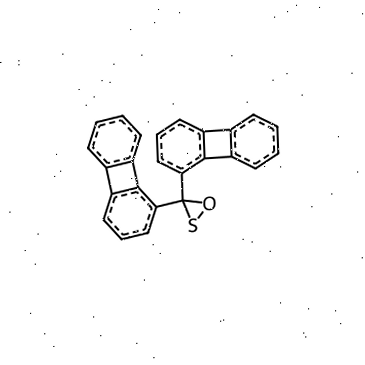 c1ccc2c(c1)-c1cccc(C3(c4cccc5c4-c4ccccc4-5)OS3)c1-2